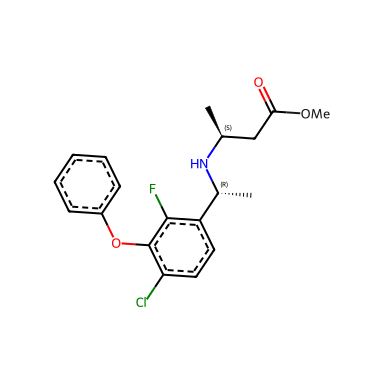 COC(=O)C[C@H](C)N[C@H](C)c1ccc(Cl)c(Oc2ccccc2)c1F